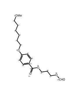 COCCCCCCOc1ccc(C(=O)OCCCOC=O)cc1